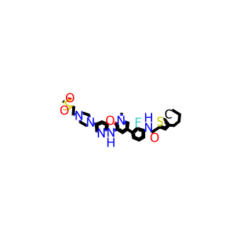 Cn1cc(-c2cccc(NC(=O)c3cc4c(s3)CCCCC4)c2F)cc(Nc2ccc(N3CCN(CCS(C)(=O)=O)CC3)cn2)c1=O